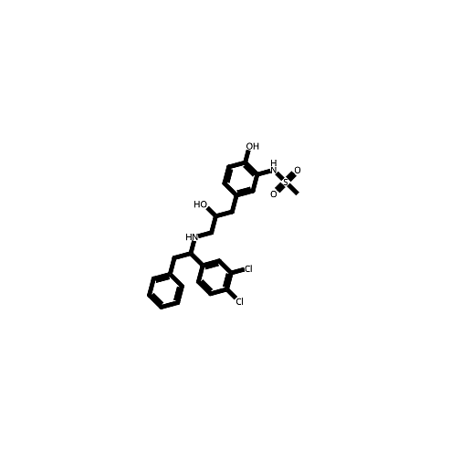 CS(=O)(=O)Nc1cc(CC(O)CNC(Cc2ccccc2)c2ccc(Cl)c(Cl)c2)ccc1O